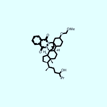 COCOC1CC[C@]2(C)[C@H]3CC[C@]4(C)[C@@H]([C@H](C)CCC(O)C(C)C)CC[C@H]4[C@]34C=CC2(C1)n1c(=O)c2ccccc2c(=O)n14